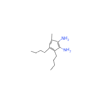 CCCCc1cc(C)c(N)c(N)c1CCCC